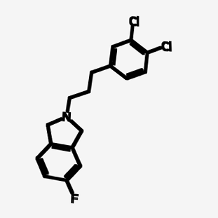 Fc1ccc2c(c1)CN(CCCc1ccc(Cl)c(Cl)c1)C2